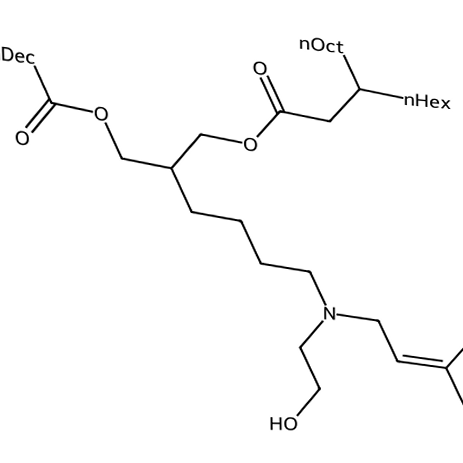 CCCCCCCCCCC(=O)OCC(CCCCN(CC=C(C)C)CCO)COC(=O)CC(CCCCCC)CCCCCCCC